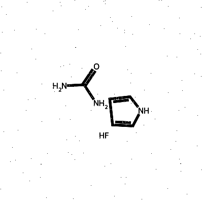 F.NC(N)=O.c1cc[nH]c1